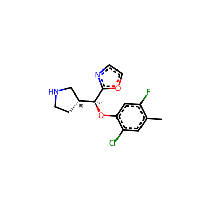 Cc1cc(Cl)c(O[C@H](c2ncco2)[C@@H]2CCNC2)cc1F